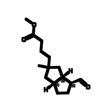 COC(=O)CCCC1(C)C[C@H]2CC[C@H](C=O)[C@H]2C1